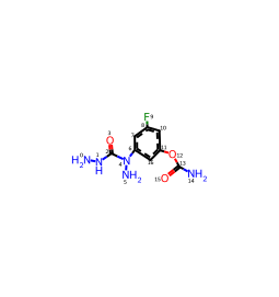 NNC(=O)N(N)c1cc(F)cc(OC(N)=O)c1